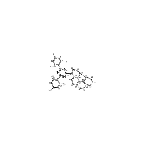 Cc1cc(C)c(-c2nc(-c3c(C)cc(C)cc3C)nc(-c3ccc4c5c3ccc3ccc6cccc-4c6c35)n2)c(C)c1